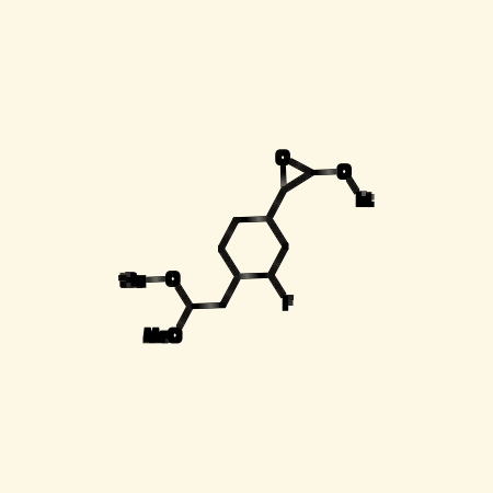 CCOC1OC1C1CCC(CC(OC)OC(C)(C)C)C(F)C1